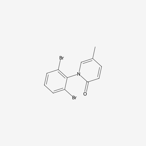 Cc1ccc(=O)n(-c2c(Br)cccc2Br)c1